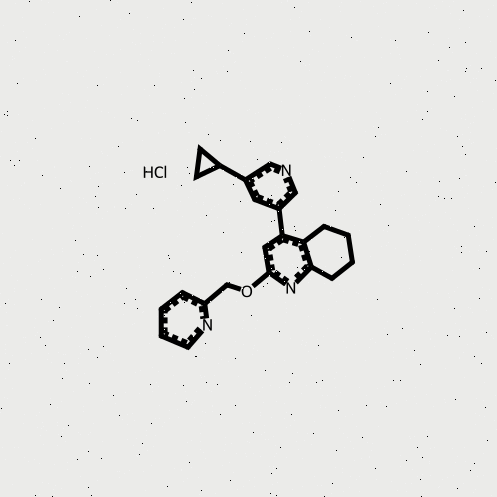 Cl.c1ccc(COc2cc(-c3cncc(C4CC4)c3)c3c(n2)CCCC3)nc1